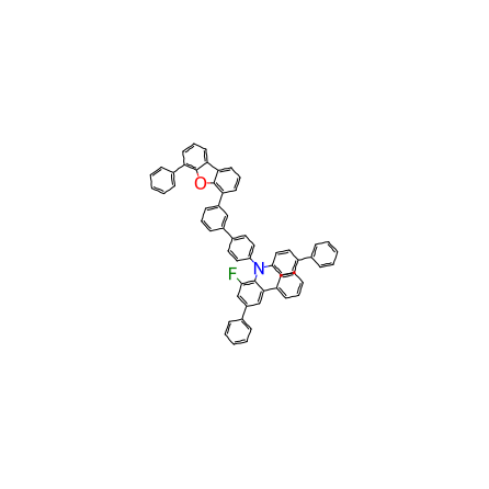 Fc1cc(-c2ccccc2)cc(-c2ccccc2)c1N(c1ccc(-c2ccccc2)cc1)c1ccc(-c2cccc(-c3cccc4c3oc3c(-c5ccccc5)cccc34)c2)cc1